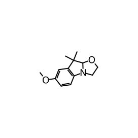 COc1ccc2c(c1)C(C)(C)C1OCCN21